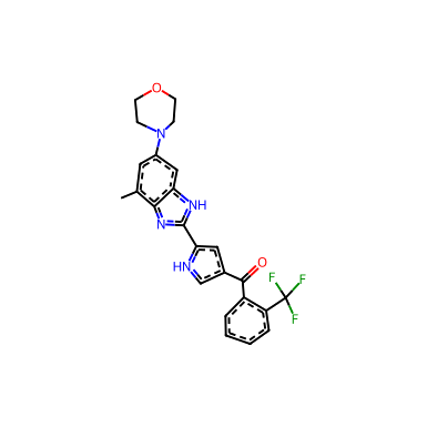 Cc1cc(N2CCOCC2)cc2[nH]c(-c3cc(C(=O)c4ccccc4C(F)(F)F)c[nH]3)nc12